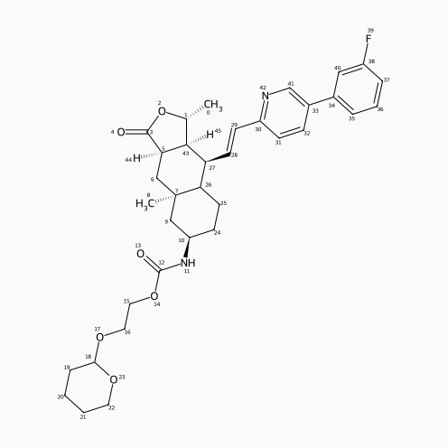 C[C@H]1OC(=O)[C@@H]2C[C@]3(C)C[C@H](NC(=O)OCCOC4CCCCO4)CCC3[C@H](/C=C/c3ccc(-c4cccc(F)c4)cn3)[C@H]12